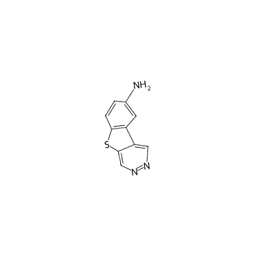 Nc1ccc2sc3cnncc3c2c1